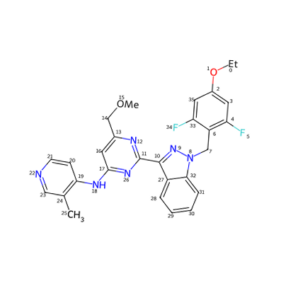 CCOc1cc(F)c(Cn2nc(-c3nc(COC)cc(Nc4ccncc4C)n3)c3ccccc32)c(F)c1